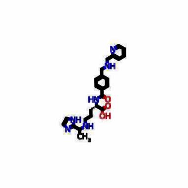 CC(NCCC[C@H](NC(=O)c1ccc(CNCc2ccccn2)cc1)C(=O)O)c1ncc[nH]1